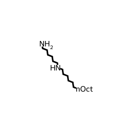 CCCCCCCCCCCCCCNCCCCCCN